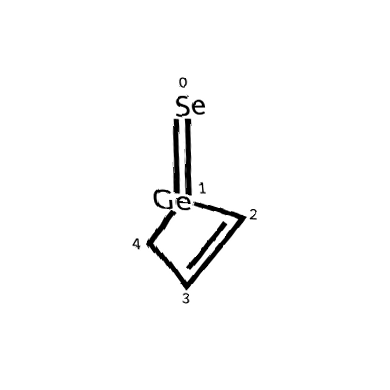 [Se]=[Ge]1[CH]=C[CH2]1